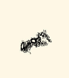 CC(C)(C)NS(=O)(=O)c1cc(NC(=O)NC(C)(C)c2ccccc2)ccc1-c1cnc(C2CCC(NC(=O)OC3COC3)CC2)s1